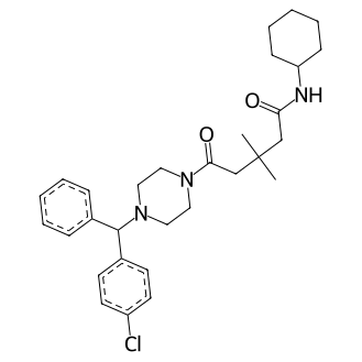 CC(C)(CC(=O)NC1CCCCC1)CC(=O)N1CCN(C(c2ccccc2)c2ccc(Cl)cc2)CC1